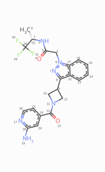 C[C@H](NC(=O)Cn1nc(C2CN(C(=O)c3ccnc(N)c3)C2)c2ccccc21)C(F)(F)F